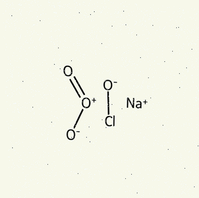 O=[O+][O-].[Na+].[O-]Cl